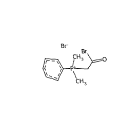 C[P+](C)(CC(=O)Br)c1ccccc1.[Br-]